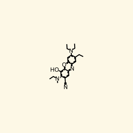 CCc1cc2nc3cc(C#N)/c(=[N+](\C)CC)c(O)c-3oc2cc1N(CC)CC